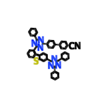 N#Cc1ccc(-c2ccc(-c3nc(-c4ccccc4)nc(-c4cccc5sc6cc(-c7nc(-c8ccccc8)nc(-c8ccccc8)n7)ccc6c45)n3)cc2)cc1